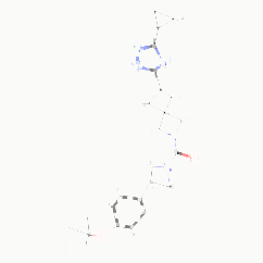 CC(C)(Oc1ccc(C2CN(C(=O)N3CC4(CC(c5nnc(C6CC6)[nH]5)C4)C3)C2)cc1)C(F)(F)F